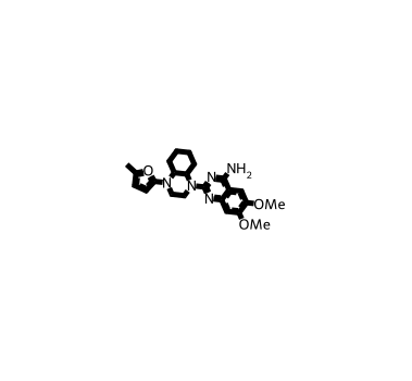 COc1cc2nc(N3CCN(c4ccc(C)o4)C4CCCCC43)nc(N)c2cc1OC